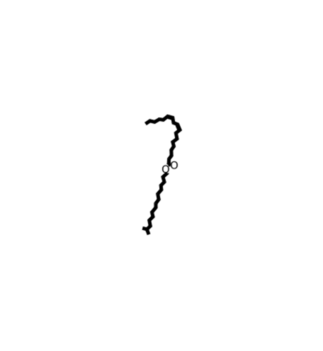 CCCCC/C=C\C/C=C\CCCCCCCC(=O)OCCCCCCCCCCCCCC(C)C